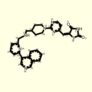 O=C1NC(=O)/C(=C\c2ccnc(N3CCC(CNCc4cccc(-c5cncc6ccccc56)n4)CC3)n2)S1